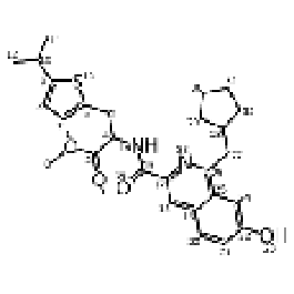 COC(=O)C(Cc1ccc(C(C)C)s1)NC(=O)c1cc2ccc(O)cc2c(CC2CCCC2)n1